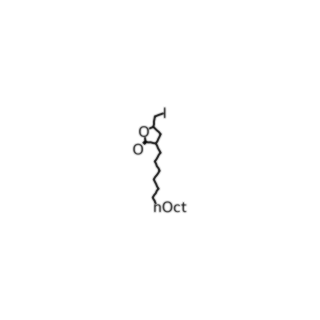 CCCCCCCCCCCCCCC1CC(CI)OC1=O